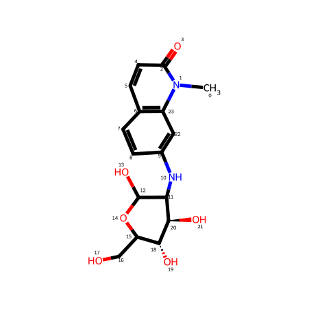 Cn1c(=O)ccc2ccc(NC3C(O)OC(CO)[C@@H](O)[C@@H]3O)cc21